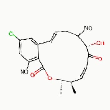 C[C@@H]1/C=C\C(=O)[C@@H](O)C(N=O)C/C=C/c2cc(Cl)cc(N=O)c2C(=O)O[C@H]1C